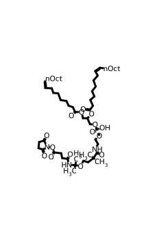 CCCCCCCC/C=C\CCCCCCCC(=O)OCC(COP(=O)(O)OCCNC(=O)C(C)(C)CCOC(C)(C)NC(=O)CCC(=O)ON1C(=O)CCC1=O)OC(=O)CCCCCCC/C=C\CCCCCCCC